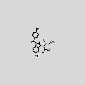 CCCC(C(=O)O)c1c(C)n(C(=O)c2ccc(Br)cc2)c2ccc(O)cc12